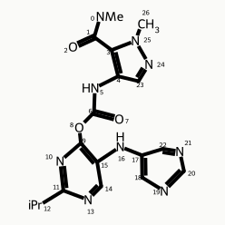 CNC(=O)c1c(NC(=O)Oc2nc(C(C)C)ncc2Nc2cncnc2)cnn1C